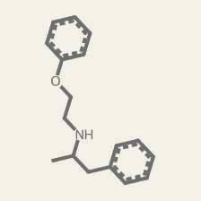 CC(Cc1ccccc1)NCCOc1ccccc1